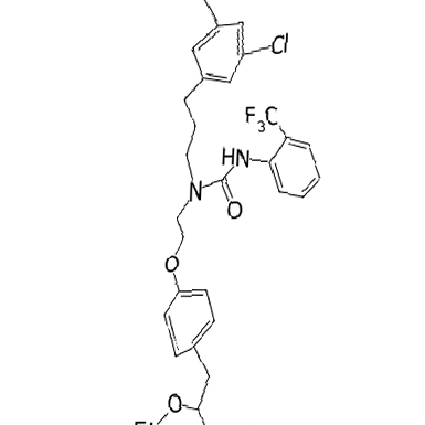 CCOC(Cc1ccc(OCCN(CCCc2cc(Cl)cc(Cl)c2)C(=O)Nc2ccccc2C(F)(F)F)cc1)C(=O)O